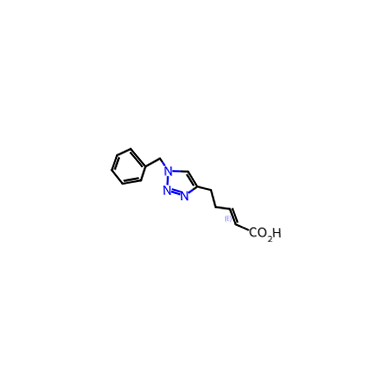 O=C(O)/C=C/CCc1cn(Cc2ccccc2)nn1